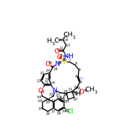 CO[C@H]1/C=C/CCC[S@@](=O)(NC(=O)CC(C)C)=NC(=O)c2ccc3c(c2)N(C[C@@H]2CC[C@H]21)C[C@@]1(CCCc2cc(Cl)ccc21)CO3